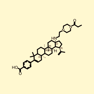 C=C(C)[C@@H]1CC[C@]2(NCCN3CCN(C(=O)CC)CC3)CC[C@]3(C)[C@H](CCC4[C@@]5(C)CC=C(c6ccc(C(=O)O)cc6)C(C)(C)C5CC[C@]43C)C12